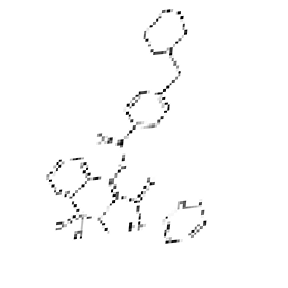 CN1C(C(=O)Nc2ccccn2)=C(OC(=O)c2ccc(CN3CCCCC3)cc2)c2ccccc2S1(=O)=O